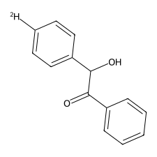 [2H]c1ccc(C(O)C(=O)c2ccccc2)cc1